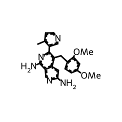 COc1ccc(Cc2c(-c3cnccc3C)nc(N)c3cnc(N)cc23)c(OC)c1